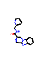 O=C(NCc1ccccn1)c1cn2c([c]n1)nc1ccccc12